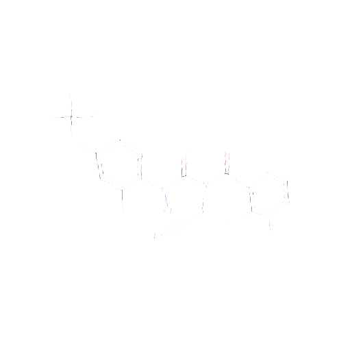 C#CCN(C(=O)c1cccc(F)c1F)C(=O)N(C)c1ccc(SC(F)(F)F)cc1F